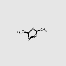 CC1N=NC(C)O1